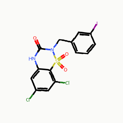 O=C1Nc2cc(Cl)cc(Cl)c2S(=O)(=O)N1Cc1cccc(I)c1